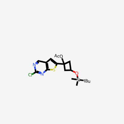 CC(=O)OC1(c2cc3cnc(Cl)nc3s2)CC(O[Si](C)(C)C(C)(C)C)C1